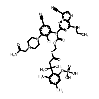 CCNc1nc(N(C(=O)OCOC(=O)CC(C)(C)c2c(C)cc(C)cc2OP(=O)(O)O)c2cc(C#N)cc(N3CCN(CC(N)=O)CC3)c2Cl)nn2c(C#N)cnc12